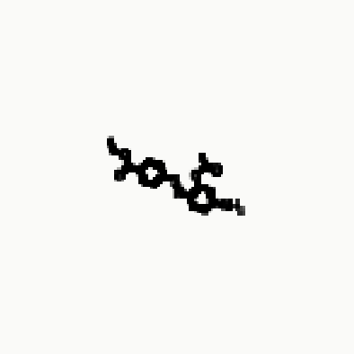 CCOC(=O)c1ccc(/N=N/c2ccc(N)cc2OC(C)=O)cc1